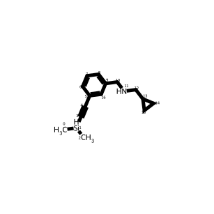 C[SiH](C)C#Cc1cccc(CNCC2CC2)c1